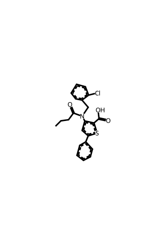 CCCC(=O)N(Cc1ccccc1Cl)c1cc(-c2ccccc2)sc1C(=O)O